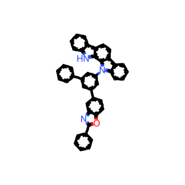 c1ccc(-c2cc(-c3ccc4oc(-c5ccccc5)nc4c3)cc(-n3c4ccccc4c4ccc5c6ccccc6[nH]c5c43)c2)cc1